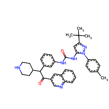 Cc1ccc(-n2nc(C(C)(C)C)cc2NC(=O)Nc2cccc(C(C(=O)c3cnc4ccccc4c3)C3CCNCC3)c2)cc1